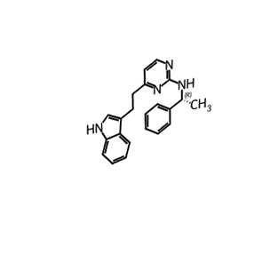 C[C@@H](Nc1nccc(CCc2c[nH]c3ccccc23)n1)c1ccccc1